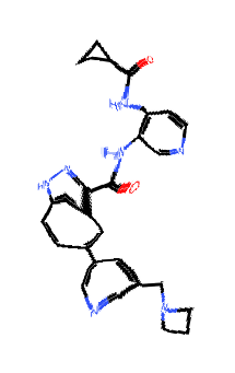 O=C(Nc1cnccc1NC(=O)C1CC1)c1n[nH]c2ccc(-c3cncc(CN4CCC4)c3)cc12